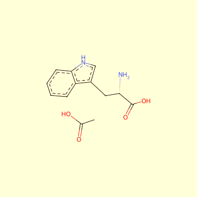 CC(=O)O.N[C@@H](Cc1c[nH]c2ccccc12)C(=O)O